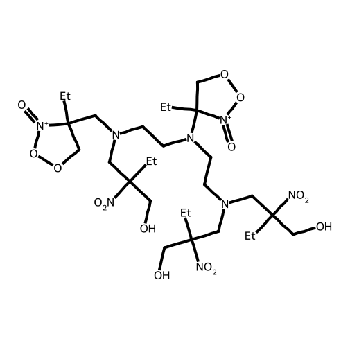 CCC(CO)(CN(CCN(CCN(CC(CC)(CO)[N+](=O)[O-])CC1(CC)COO[N+]1=O)C1(CC)COO[N+]1=O)CC(CC)(CO)[N+](=O)[O-])[N+](=O)[O-]